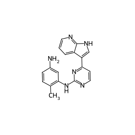 Cc1ccc(N)cc1Nc1nccc(-c2c[nH]c3ncccc23)n1